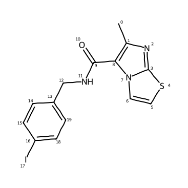 Cc1nc2sccn2c1C(=O)NCc1ccc(I)cc1